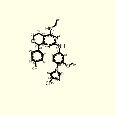 CCNc1nc(Nc2ccc(-n3cnc(Cl)c3)c(OC)c2)nc2c1CCOC2c1ccc(F)cc1